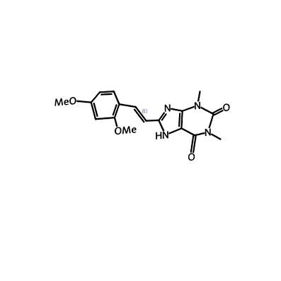 COc1ccc(/C=C/c2nc3c([nH]2)c(=O)n(C)c(=O)n3C)c(OC)c1